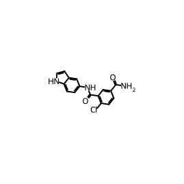 NC(=O)c1ccc(Cl)c(C(=O)Nc2ccc3[nH]ccc3c2)c1